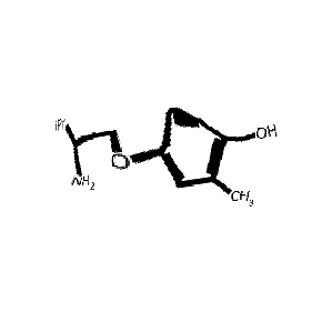 Cc1cc(OCC(N)C(C)C)ccc1O